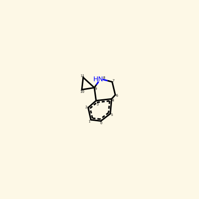 c1ccc2c(c1)CCNC21CC1